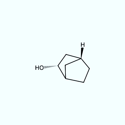 O[C@@H]1C[C@@H]2CCC1C2